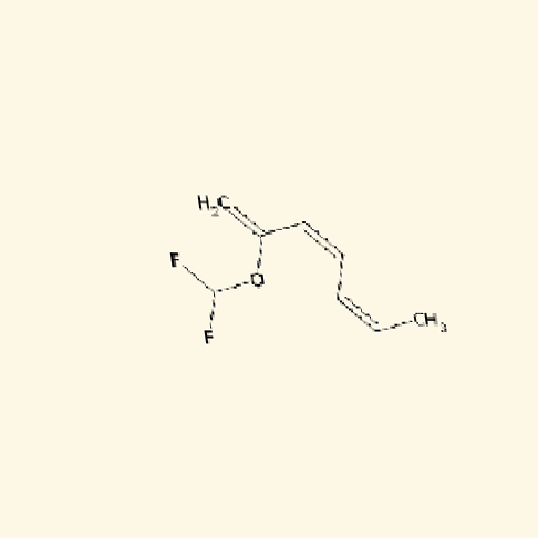 C=C(/C=C\C=C/C)OC(F)F